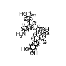 Nc1nc(/C(=N/OC2(C(=O)O)CC2)C(=O)N[C@H]2CON(C3(C(=O)O)CC(n4cc5cc(O)c(O)cn5c4=O)C(=O)O3)C2=O)cs1